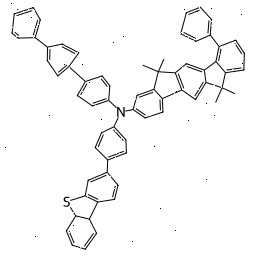 CC1(C)c2cc(N(c3ccc(-c4ccc(-c5ccccc5)cc4)cc3)c3ccc(-c4ccc5c(c4)SC4C=CC=CC54)cc3)ccc2-c2cc3c(cc21)-c1c(-c2ccccc2)cccc1C3(C)C